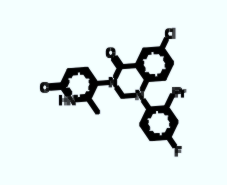 Cc1[nH]c(=O)ccc1N1CN(c2ccc(F)cc2C(C)C)c2ccc(Cl)cc2C1=O